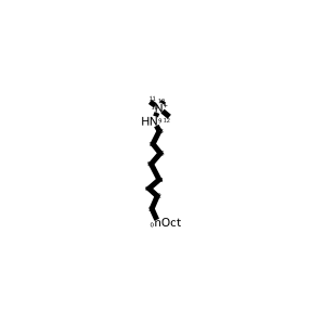 CCCCCCCCCCCCCCCCN[N+](C)(C)C